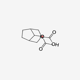 CC(=O)OC1C2CCC1CN(C(=O)O)C2